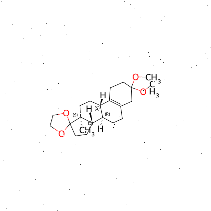 COC1(OC)CCC2=C(CC[C@@H]3[C@@H]2CC[C@@]2(C)[C@H]3CCC23OCCO3)C1